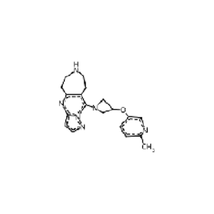 Cc1ccc(OC2CN(c3c4c(nc5ccnn35)CCNCC4)C2)cn1